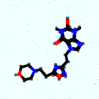 Cn1c(=O)c2c(ncn2CCc2noc(CCN3CCOCC3)n2)n(C)c1=O